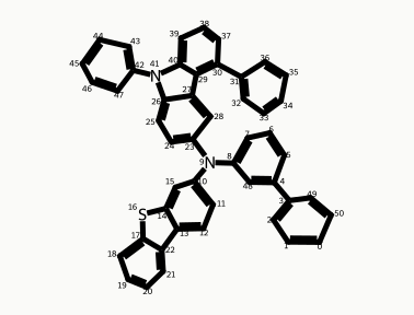 c1ccc(-c2cccc(N(c3ccc4c(c3)sc3ccccc34)c3ccc4c(c3)c3c(-c5ccccc5)cccc3n4-c3ccccc3)c2)cc1